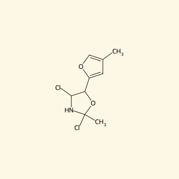 Cc1coc(C2OC(C)(Cl)NC2Cl)c1